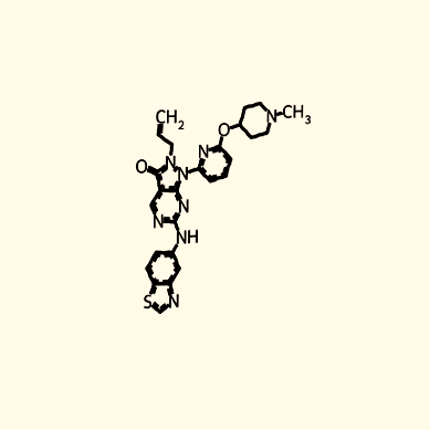 C=CCn1c(=O)c2cnc(Nc3ccc4scnc4c3)nc2n1-c1cccc(OC2CCN(C)CC2)n1